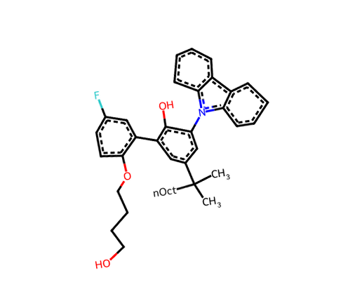 CCCCCCCCC(C)(C)c1cc(-c2cc(F)ccc2OCCCCO)c(O)c(-n2c3ccccc3c3ccccc32)c1